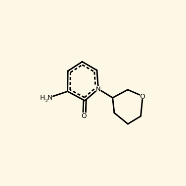 Nc1cccn(C2CCCOC2)c1=O